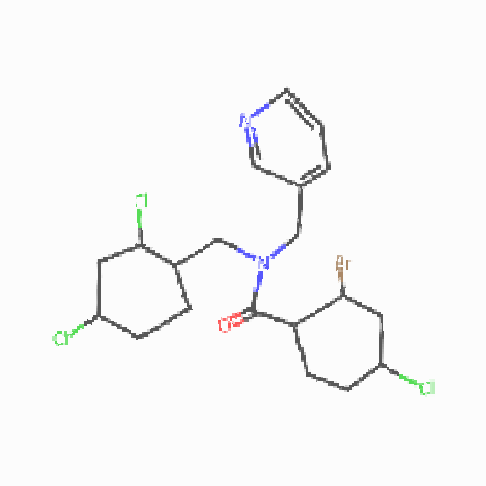 O=C(C1CCC(Cl)CC1Br)N(Cc1cccnc1)CC1CCC(Cl)CC1Cl